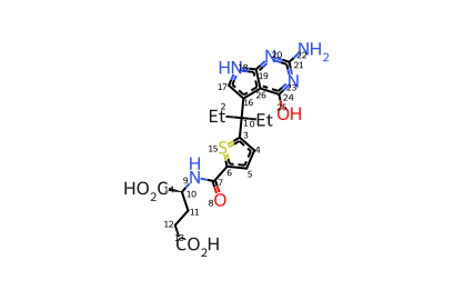 CCC(CC)(c1ccc(C(=O)N[C@@H](CCC(=O)O)C(=O)O)s1)c1c[nH]c2nc(N)nc(O)c12